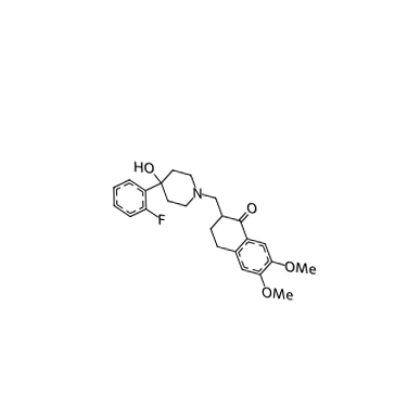 COc1cc2c(cc1OC)C(=O)C(CN1CCC(O)(c3ccccc3F)CC1)CC2